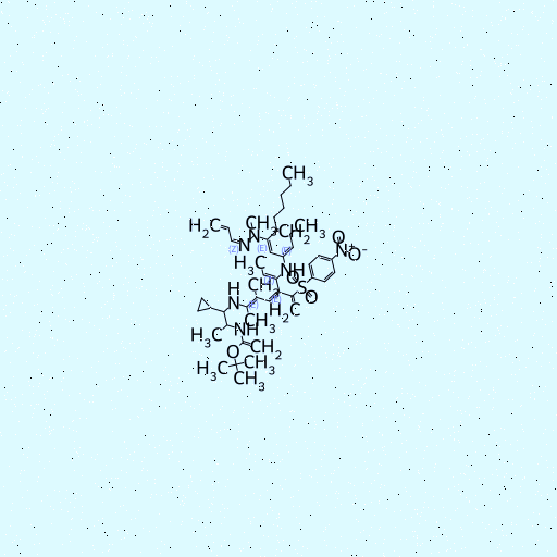 C=C/C=N\N(C)/C(=C/C(=C\CC)NC(=C\C)/C(=C\C(C)=C(/C)NC(C1CC1)C(C)NC(=C)OC(C)(C)C)C(=C)S(=O)(=O)c1ccc([N+](=O)[O-])cc1)C(=C)CCCCC